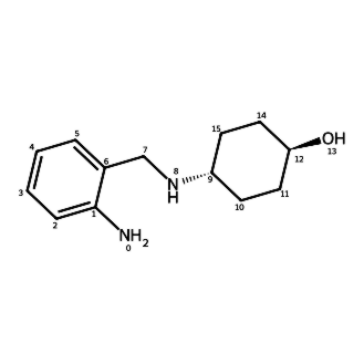 Nc1ccccc1CN[C@H]1CC[C@H](O)CC1